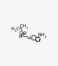 CC(C)COS(=O)(=O)CCCN1CCc2c(N)cccc2C1